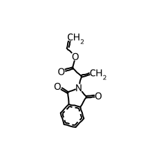 C=COC(=O)C(=C)N1C(=O)c2ccccc2C1=O